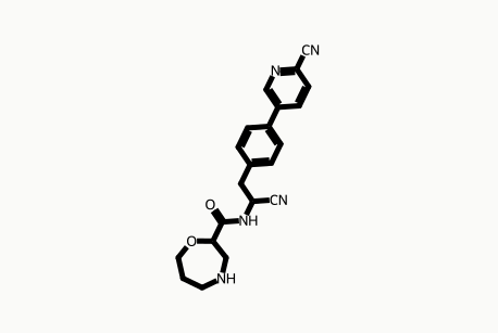 N#Cc1ccc(-c2ccc(CC(C#N)NC(=O)C3CNCCCO3)cc2)cn1